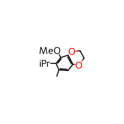 COc1c2c(cc(C)c1C(C)C)OCCO2